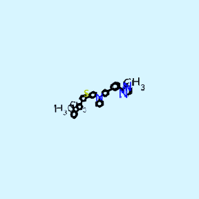 CN1C=CC=NC1c1cccc(-c2ccc(N(c3ccccc3)c3ccc4sc5ccc(-c6ccc7c(c6)C(C)(C)c6ccccc6-7)cc5c4c3)cc2)c1